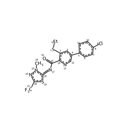 CCSc1cc(-c2ccc(Cl)cc2)cnc1C(=O)N=c1sc(C(F)(F)F)nn1C